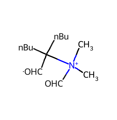 CCCCC([C]=O)(CCCC)[N+](C)(C)C=O